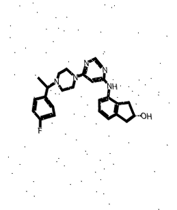 CC(c1ccc(F)cc1)N1CCN(c2cc(Nc3cccc4c3C[C@H](O)C4)ncn2)CC1